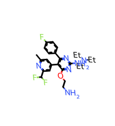 CCN(CC)CC.Cc1cc(-c2c(OCCN)nc(N)nc2-c2ccc(F)cc2)cc(C(F)F)n1